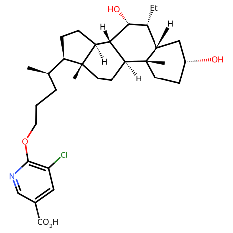 CC[C@H]1[C@@H](O)[C@@H]2[C@H](CC[C@]3(C)[C@@H]([C@H](C)CCCOc4ncc(C(=O)O)cc4Cl)CC[C@@H]23)[C@@]2(C)CC[C@@H](O)C[C@@H]12